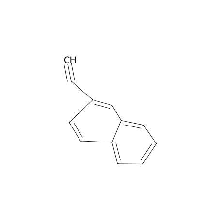 C#Cc1ccc2ccccc2c1